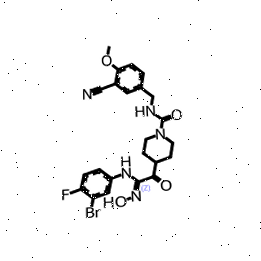 COc1ccc(CNC(=O)N2CCC(C(=O)/C(=N/O)Nc3ccc(F)c(Br)c3)CC2)cc1C#N